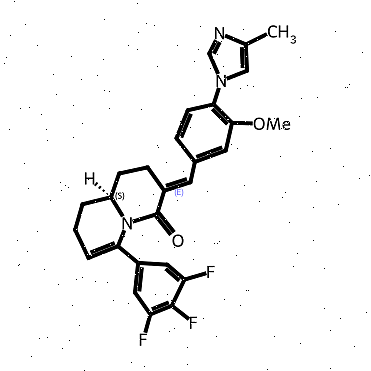 COc1cc(/C=C2\CC[C@@H]3CCC=C(c4cc(F)c(F)c(F)c4)N3C2=O)ccc1-n1cnc(C)c1